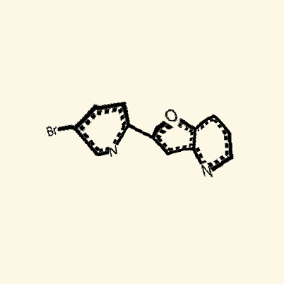 Brc1ccc(-c2cc3ncccc3o2)nc1